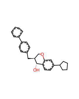 O[C@H]1c2ccc(C3CCCC3)cc2OC[C@@H]1Cc1ccc(-c2ccccc2)cc1